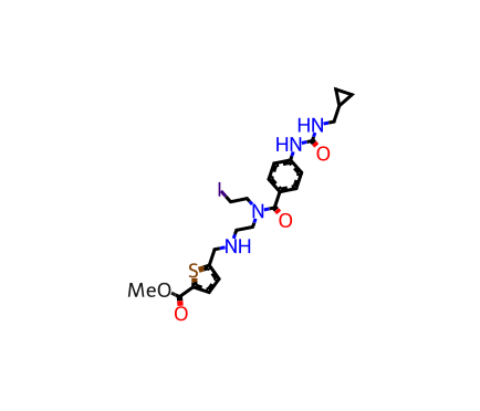 COC(=O)c1ccc(CNCCN(CCI)C(=O)c2ccc(NC(=O)NCC3CC3)cc2)s1